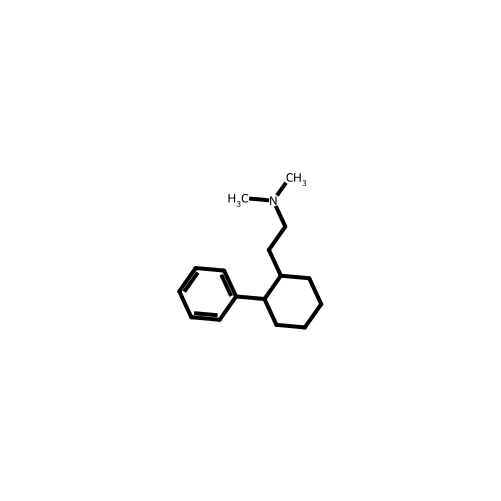 CN(C)CCC1CCCCC1c1ccccc1